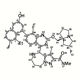 CCc1c(F)ccc2cc(O)cc(-c3ccc4c(C5NCCCn6nc(C(=O)NC)c(C)c65)nc(OC[C@@]56CCCN5C[C@H](F)C6)nc4c3F)c12